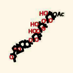 C=C1C=C(C2CCC34CC35CCC3(C)CC(C)(OC6(C)CC(O)C(C)(OC7(C)CC(C)(O)C(OC8(C)CC(C)(O)C(C)(OC(C)=O)C(C)(C)O8)C(C)(C)O7)C(C)(C)O6)CCC3(C)C5CC3(O)CC234)CO1